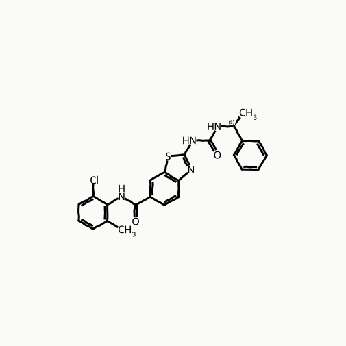 Cc1cccc(Cl)c1NC(=O)c1ccc2nc(NC(=O)N[C@@H](C)c3ccccc3)sc2c1